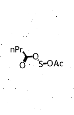 CCCC(=O)OSOC(C)=O